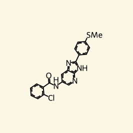 CSc1ccc(-c2nc3cc(NC(=O)c4ccccc4Cl)cnc3[nH]2)cc1